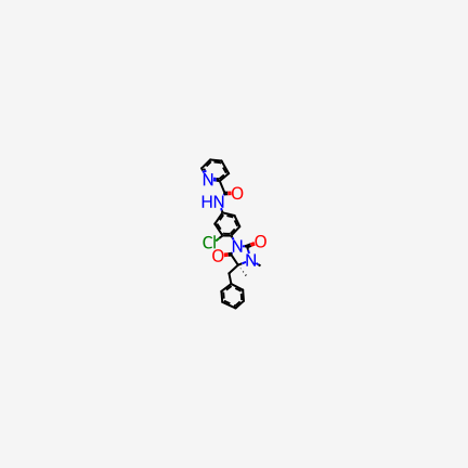 CN1C(=O)N(c2ccc(NC(=O)c3ccccn3)cc2Cl)C(=O)[C@]1(C)Cc1ccccc1